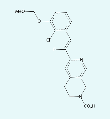 COCOc1cccc(C=C(F)c2cc3c(cn2)CN(C(=O)O)CC3)c1Cl